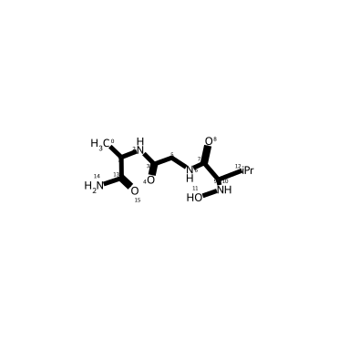 CC(NC(=O)CNC(=O)C(NO)C(C)C)C(N)=O